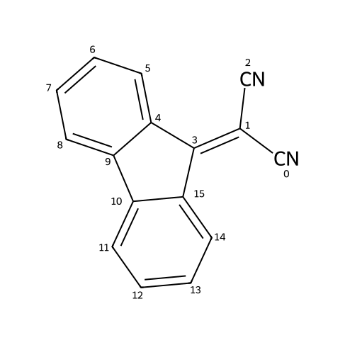 N#CC(C#N)=C1c2ccccc2-c2ccccc21